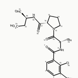 CC(=O)Nc1cccc(C(=O)N[C@H](C(=O)N2CCC[C@H]2C(=O)N[C@H](C=O)CC(=O)O)C(C)(C)C)c1Cl